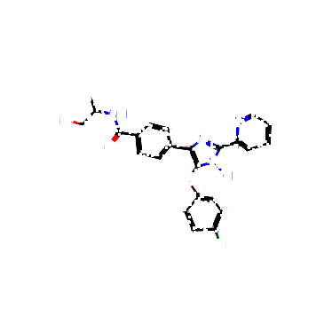 CC(CO)NC(=O)c1ccc(-c2nc(-c3ccccn3)n(C)c2Sc2ccc(Cl)cc2)cc1